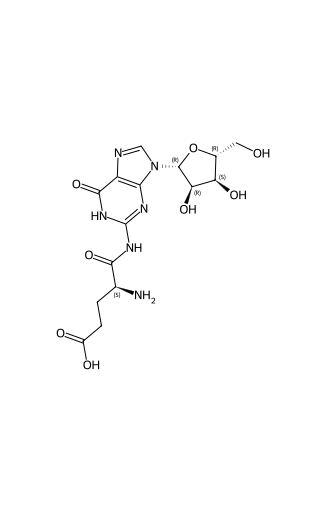 N[C@@H](CCC(=O)O)C(=O)Nc1nc2c(ncn2[C@@H]2O[C@H](CO)[C@@H](O)[C@H]2O)c(=O)[nH]1